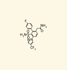 NC(=O)Cc1ccc(-n2cc(C(F)(F)F)cn2)c(S(N)(=O)=O)c1-c1ccc(F)cc1